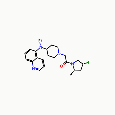 CCN(c1cccc2ncccc12)C1CCN(CC(=O)N2C[C@@H](F)C[C@H]2C)CC1